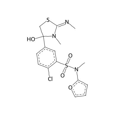 CN=C1SCC(O)(c2ccc(Cl)c(S(=O)(=O)N(C)c3ccco3)c2)N1C